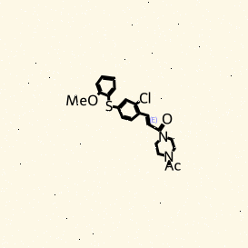 COc1ccccc1Sc1ccc(/C=C/C(=O)N2CCN(C(C)=O)CC2)c(Cl)c1